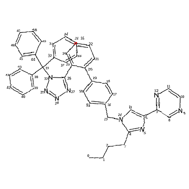 CCCCc1nc(-c2cnccn2)cn1Cc1ccc(-c2ccccc2-c2nnnn2C(c2ccccc2)(c2ccccc2)c2ccccc2)cc1